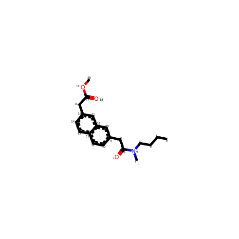 CCCCN(C)C(=O)Cc1ccc2ccc(CC(=O)OC)cc2c1